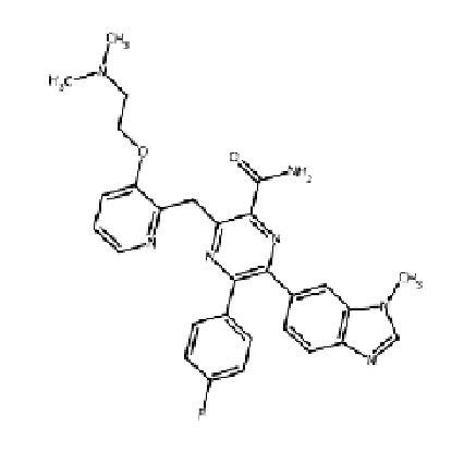 CN(C)CCOc1cccnc1Cc1nc(-c2ccc(F)cc2)c(-c2ccc3ncn(C)c3c2)nc1C(N)=O